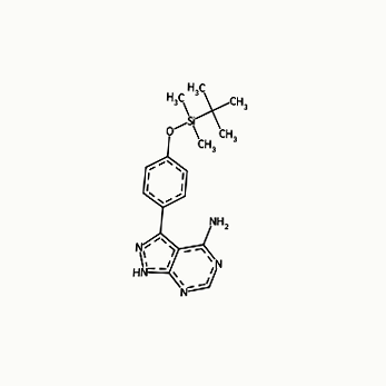 CC(C)(C)[Si](C)(C)Oc1ccc(-c2n[nH]c3ncnc(N)c23)cc1